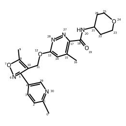 Cc1ccc(-c2noc(C)c2COc2cc(C)c(C(=O)NC3CCOCC3)nn2)cn1